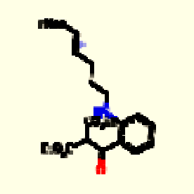 CCCCCCCCC/C=C/CCCNc1ccccc1C(=O)C(C(=O)OCC)C(=O)OCC